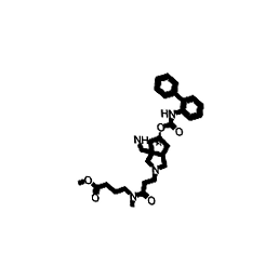 COC(=O)CCCN(C)C(=O)CCN1CC2C[C@@H](OC(=O)Nc3ccccc3-c3ccccc3)CC2(CN)C1